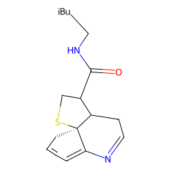 CCC(C)CNC(=O)C1CS[C@]23CC=CC=C2N=CCC13